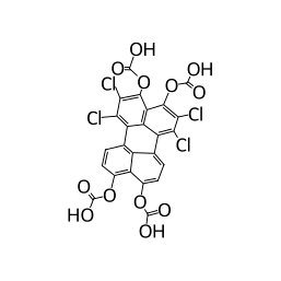 O=C(O)Oc1ccc2c3c(Cl)c(Cl)c(OC(=O)O)c4c(OC(=O)O)c(Cl)c(Cl)c(c5ccc(OC(=O)O)c1c25)c43